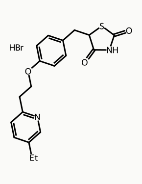 Br.CCc1ccc(CCOc2ccc(CC3SC(=O)NC3=O)cc2)nc1